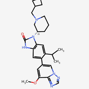 COc1cc(-c2cc3[nH]c(=O)n([C@H]4CCCN(CC5CCC5)C4)c3cc2C(C)C)cn2ncnc12